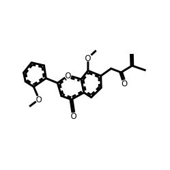 C=C(C)C(=O)Cc1ccc2c(=O)cc(-c3ccccc3OC)oc2c1OC